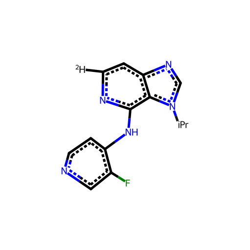 [2H]c1cc2ncn(C(C)C)c2c(Nc2ccncc2F)n1